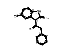 O=C(Cc1ccccc1)C1C(=O)Nc2ccc(Cl)cc21